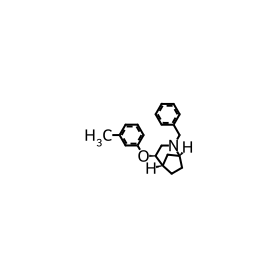 Cc1cccc(O[C@H]2CN(Cc3ccccc3)[C@@H]3CC[C@H]2C3)c1